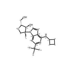 OC[C@H]1OC[C@@](F)(n2cnc3c(NC4CCC4)nc(C(F)(F)F)nc32)[C@@H]1O